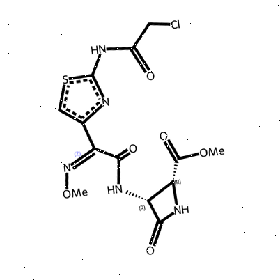 CO/N=C(\C(=O)N[C@H]1C(=O)N[C@H]1C(=O)OC)c1csc(NC(=O)CCl)n1